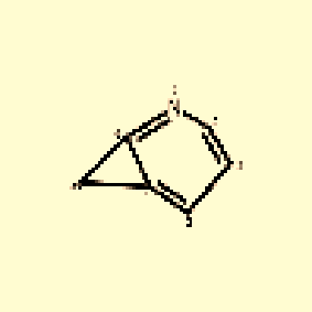 [CH]1c2cccnc21